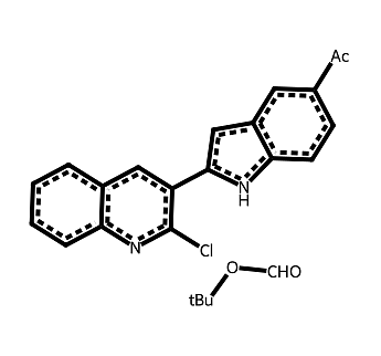 CC(=O)c1ccc2[nH]c(-c3cc4ccccc4nc3Cl)cc2c1.CC(C)(C)OC=O